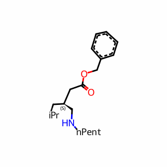 CCCCCNC[C@H](CC(=O)OCc1ccccc1)CC(C)C